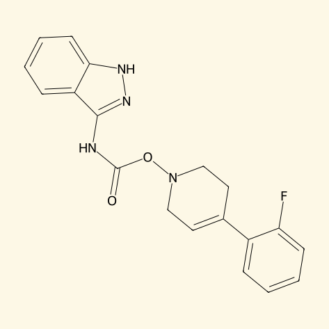 O=C(Nc1n[nH]c2ccccc12)ON1CC=C(c2ccccc2F)CC1